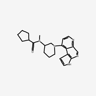 CN(C(=O)C1CCCC1)C1CCCN(c2ccnc3cnc4[nH]ccc4c23)C1